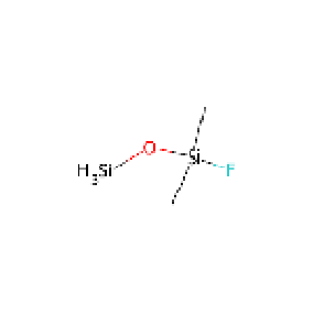 C[Si](C)(F)O[SiH3]